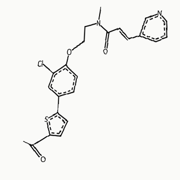 CC(=O)c1ccc(-c2ccc(OCCN(C)C(=O)/C=C/c3cccnc3)c(Cl)c2)s1